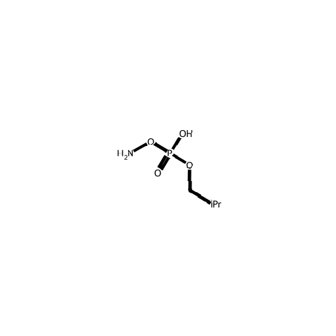 CC(C)COP(=O)(O)ON